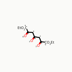 CCOC(=O)C(=O)CC(=O)CC(=O)C(=O)OCC